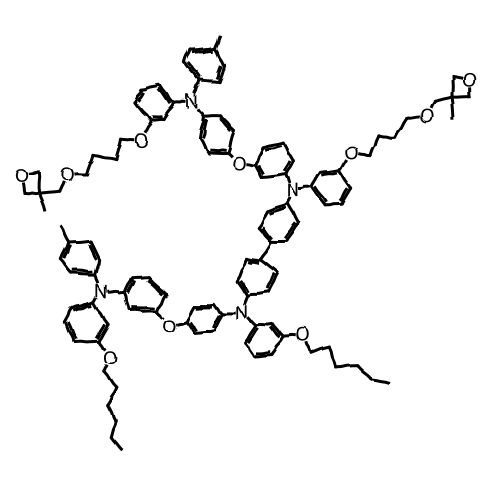 CCCCCCOc1cccc(N(c2ccc(Oc3cccc(N(c4ccc(C)cc4)c4cccc(OCCCCCC)c4)c3)cc2)c2ccc(-c3ccc(N(c4cccc(OCCCCOCC5(C)COC5)c4)c4cccc(Oc5ccc(N(c6ccc(C)cc6)c6cccc(OCCCCOCC7(C)COC7)c6)cc5)c4)cc3)cc2)c1